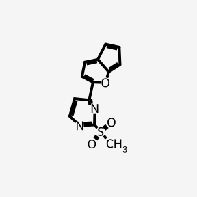 CS(=O)(=O)c1nccc(-c2ccc3cccc-3o2)n1